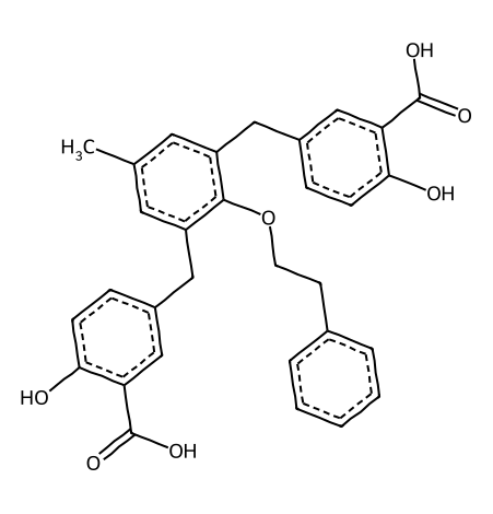 Cc1cc(Cc2ccc(O)c(C(=O)O)c2)c(OCCc2ccccc2)c(Cc2ccc(O)c(C(=O)O)c2)c1